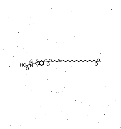 COC(=O)CCCCCCCCCCCCCCCSSCCCOC(=O)Oc1ccc2nc(C3=NC(C(=O)O)CS3)sc2c1